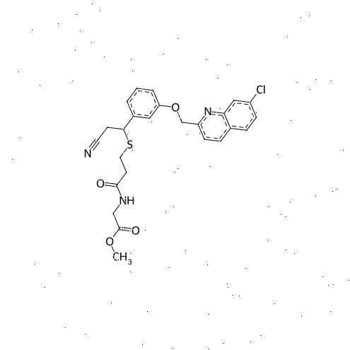 COC(=O)CNC(=O)CCSC(CC#N)c1cccc(OCc2ccc3ccc(Cl)cc3n2)c1